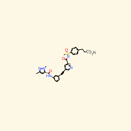 Cc1cc(C(=O)Nc2cccc(C#Cc3cncc(C(=O)N=S(C)(=O)c4ccc(CCC(=O)O)cc4)c3)c2)n(C)n1